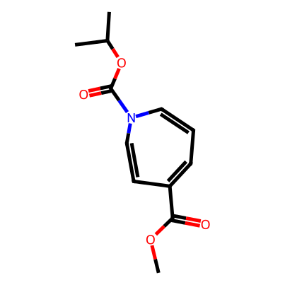 COC(=O)C1=CC=CN(C(=O)OC(C)C)C=C1